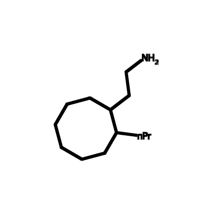 CCCC1CCCCCCC1CCN